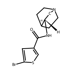 O=C(N[C@H]1CN2CCC1CC2)c1csc(Br)c1